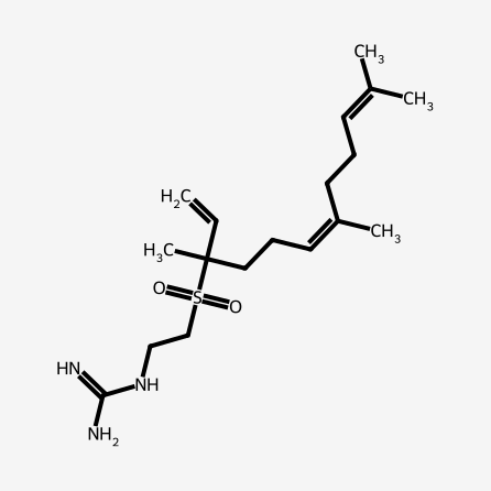 C=CC(C)(CCC=C(C)CCC=C(C)C)S(=O)(=O)CCNC(=N)N